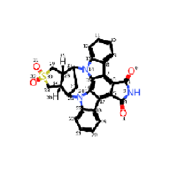 O=C1NC(=O)c2c1c1c3ccccc3n3c1c1c2c2ccccc2n1C1CC3[C@H]2CS(=O)(=O)C[C@@H]12